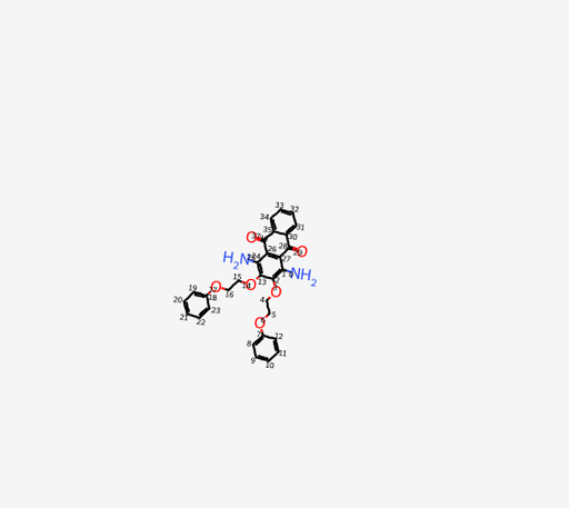 Nc1c(OCCOc2ccccc2)c(OCCOc2ccccc2)c(N)c2c1C(=O)c1ccccc1C2=O